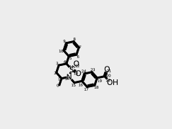 CC1CCC(c2ccccc2)S(=O)(=O)N1Cc1ccc(C(=O)O)cc1